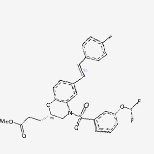 COC(=O)CC[C@H]1CN(S(=O)(=O)c2cccc(OC(F)F)c2)c2cc(/C=C/c3ccc(C)cc3)ccc2O1